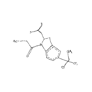 CC(=O)CC(=O)N1c2ccc(C(O)(Cl)C(F)(F)F)cc2CC1C(F)F